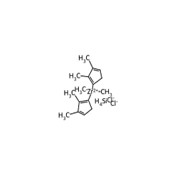 CC1=CC[C]([Zr+2]([CH3])([CH3])[C]2=C(C)C(C)=CC2)=C1C.[Cl-].[Cl-].[SiH4]